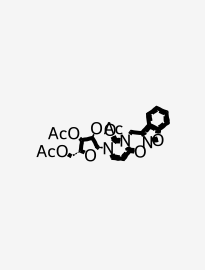 CC(=O)OC[C@H]1O[C@@H](n2ccc(=O)n(Cc3noc4ccccc34)c2=O)[C@@H](OC(C)=O)C1OC(C)=O